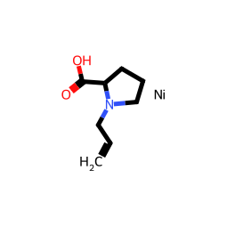 C=CCN1CCCC1C(=O)O.[Ni]